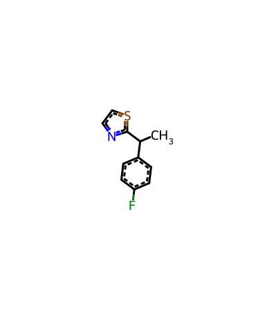 CC(c1ccc(F)cc1)c1nccs1